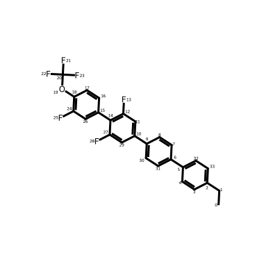 CCc1ccc(-c2ccc(-c3cc(F)c(-c4ccc(OC(F)(F)F)c(F)c4)c(F)c3)cc2)cc1